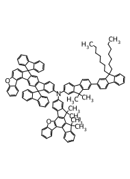 CCCCCCCC1(CCCCCCC)c2ccccc2-c2ccc(-c3ccc4c(c3)C(C)(C)c3cc(N(c5ccc6c(c5)C(C)(C)c5c7c(c8c(oc9ccccc98)c5-6)-c5ccccc5C7(C)C)c5ccc6c(c5)C5(c7ccccc7-c7ccccc75)c5cc7c(cc5-6)C5(c6ccccc6-c6ccccc65)c5ccc6oc8ccccc8c6c5-7)ccc3-4)cc21